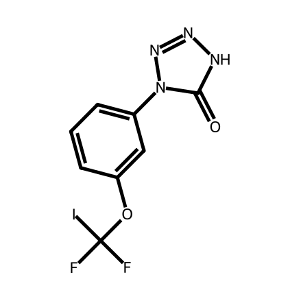 O=c1[nH]nnn1-c1cccc(OC(F)(F)I)c1